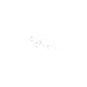 CCc1ccc(OCC2CC2)c(-c2ncnc3c(C(=O)N[C@@H]4CN(C(=O)[C@H](C)O)C[C@@H]4O)c(C)[nH]c23)c1